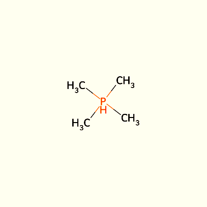 C[PH](C)(C)C